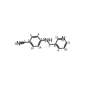 N#Cc1ccc(NCc2cccnc2)cc1